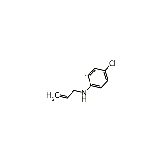 C=CCNc1[c]cc(Cl)cc1